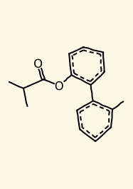 Cc1ccccc1-c1ccccc1OC(=O)C(C)C